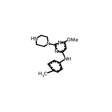 COc1cc(Nc2ccc(C)cc2)nc(N2CCNCC2)n1